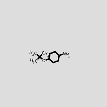 CC(C)(C)OC1CCC(N)CC1